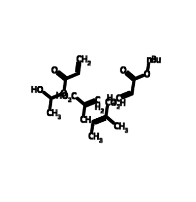 C/C=C(\C)C(=O)O.C=C(C)C(=O)O.C=CC(=O)OC(C)O.C=CC(=O)OCCCC